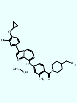 Cc1cc(Nc2nccn3c(-c4ccc(OC5CC5)c(Cl)c4)cnc23)ccc1C(=O)N1CCC(CN)CC1.O=CO